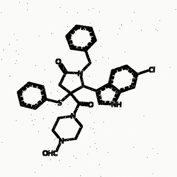 O=CN1CCN(C(=O)C2(Sc3ccccc3)CC(=O)N(Cc3ccccc3)C2c2c[nH]c3cc(Cl)ccc23)CC1